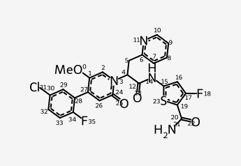 COc1cn(C(Cc2ccccn2)C(=O)Nc2cc(F)c(C(N)=O)s2)c(=O)cc1-c1cc(Cl)ccc1F